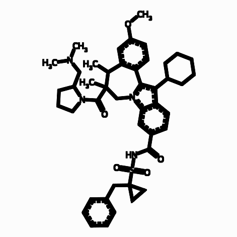 COc1ccc2c(c1)C(C)C(C)(C(=O)N1CCCC1CN(C)C)Cn1c-2c(C2CCCCC2)c2ccc(C(=O)NS(=O)(=O)C3(Cc4ccccc4)CC3)cc21